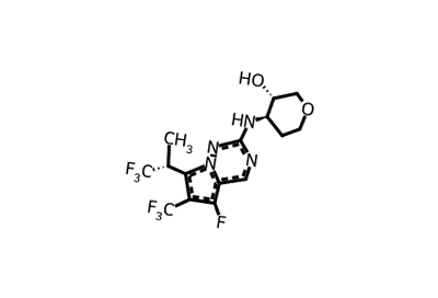 C[C@H](c1c(C(F)(F)F)c(F)c2cnc(N[C@@H]3CCOC[C@H]3O)nn12)C(F)(F)F